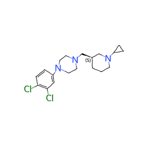 Clc1ccc(N2CCN(C[C@@H]3CCCN(C4CC4)C3)CC2)cc1Cl